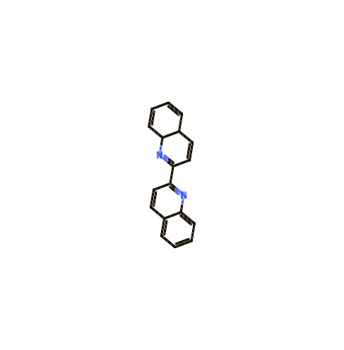 C1=CC2C=CC(c3ccc4ccccc4n3)=NC2C=C1